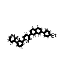 CCc1ccc(-c2ccc3ccc(-c4ccc(-c5cccc6c5sc5ncccc56)nc4)cc3c2)cc1